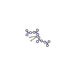 CCCCCCCCC1(CCCCCCCC)c2cc(N(c3ccccc3)c3ccc(-c4ccc(N(c5ccccc5)c5ccccc5)cc4)cc3)ccc2-c2ccc(N(c3ccccc3)c3ccc(-c4ccc(N(c5ccccc5)c5ccccc5)cc4)cc3)cc21